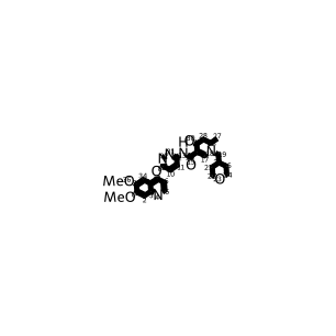 COc1cc2nccc(Oc3ccc(NC(=O)C4=CN(CC5CCOCC5)C(C)CC4=O)nn3)c2cc1OC